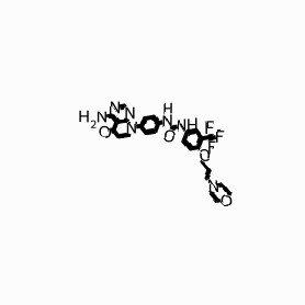 Nc1ncnc2c1c(=O)ccn2-c1ccc(NC(=O)Nc2ccc(OCCCN3CCOCC3)c(C(F)(F)F)c2)cc1